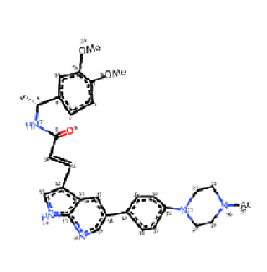 COc1ccc([C@@H](C)NC(=O)/C=C/c2c[nH]c3ncc(-c4ccc(N5CCN(C(C)=O)CC5)cc4)cc23)cc1OC